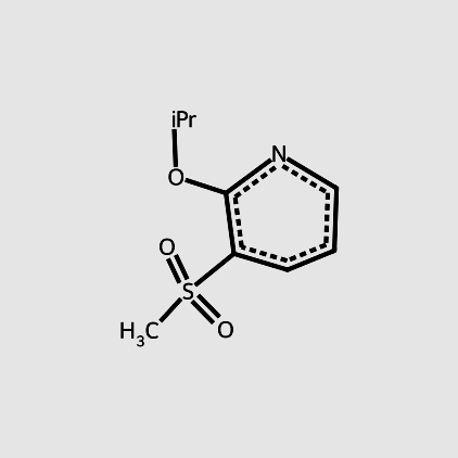 CC(C)Oc1ncccc1S(C)(=O)=O